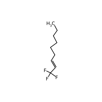 CCCCCCC=CC(F)(F)F